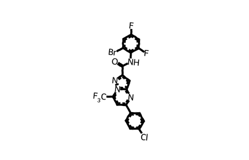 O=C(Nc1c(F)cc(F)cc1Br)c1cc2nc(-c3ccc(Cl)cc3)cc(C(F)(F)F)n2n1